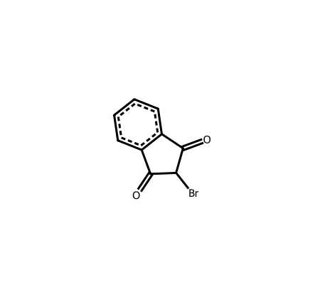 O=C1c2ccccc2C(=O)C1Br